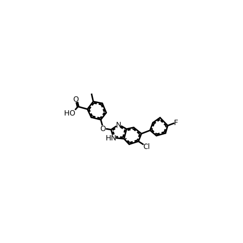 Cc1ccc(Oc2nc3cc(-c4ccc(F)cc4)c(Cl)cc3[nH]2)cc1C(=O)O